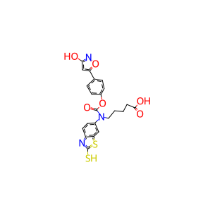 O=C(O)CCCCN(C(=O)Oc1ccc(-c2cc(O)no2)cc1)c1ccc2nc(S)sc2c1